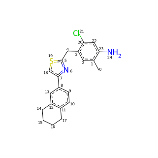 Cc1cc(Cc2nc(-c3ccc4c(c3)CCCC4)cs2)c(Cl)cc1N